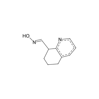 ON=CC1CCCc2cccnc21